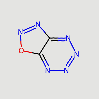 n1nnc2onnc2n1